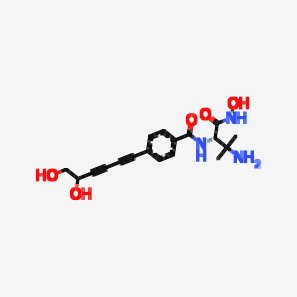 CC(C)(N)[C@H](NC(=O)c1ccc(C#CC#CC(O)CO)cc1)C(=O)NO